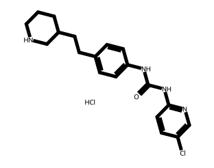 Cl.O=C(Nc1ccc(CCC2CCCNC2)cc1)Nc1ccc(Cl)cn1